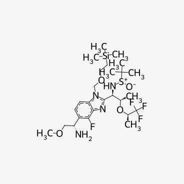 COC[C@@H](N)c1ccc2c(nc([C@@H](N[S@@+]([O-])C(C)(C)C)[C@@H](C)O[C@H](C)C(F)(F)F)n2COCC[Si](C)(C)C)c1F